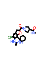 C=C1Nc2c(Cl)cc3cc(C(=O)N4CCC(C(=O)NC)CC4)oc3c2C2(CCCCC2)N1